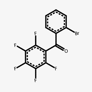 O=C(c1ccccc1Br)c1c(F)c(F)c(F)c(F)c1F